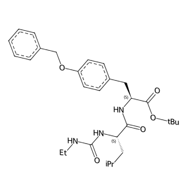 CCNC(=O)N[C@@H](CC(C)C)C(=O)N[C@@H](Cc1ccc(OCc2ccccc2)cc1)C(=O)OC(C)(C)C